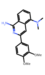 COc1ccc(-c2cc3c(N(C)C)cccc3c(N)n2)cc1OC